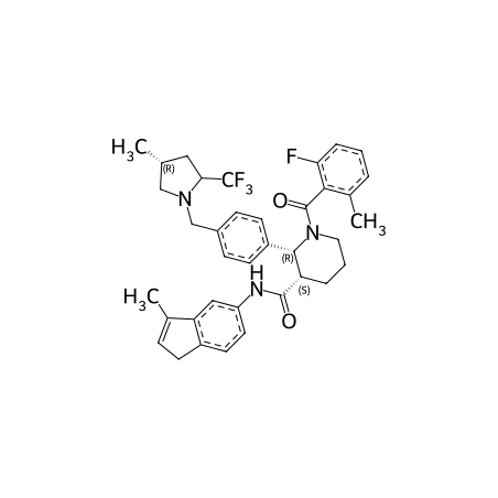 CC1=CCc2ccc(NC(=O)[C@H]3CCCN(C(=O)c4c(C)cccc4F)[C@H]3c3ccc(CN4C[C@H](C)CC4C(F)(F)F)cc3)cc21